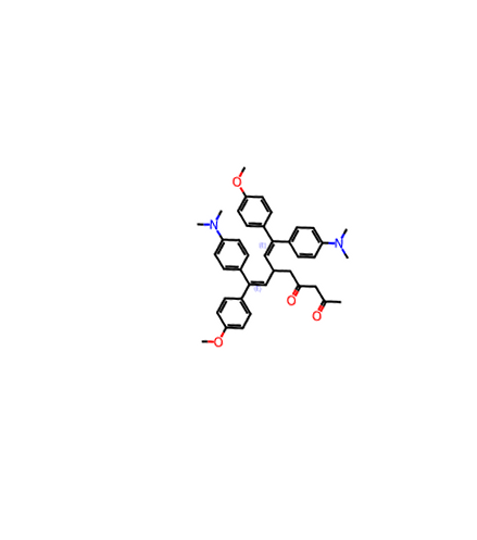 COc1ccc(/C(=C/C(/C=C(/c2ccc(OC)cc2)c2ccc(N(C)C)cc2)CC(=O)CC(C)=O)c2ccc(N(C)C)cc2)cc1